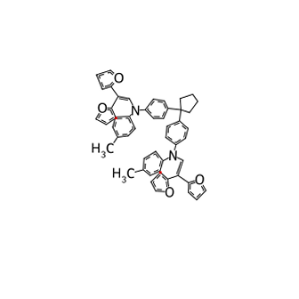 Cc1ccc(N(C=C(c2ccco2)c2ccco2)c2ccc(C3(c4ccc(N(C=C(c5ccco5)c5ccco5)c5ccc(C)cc5)cc4)CCCC3)cc2)cc1